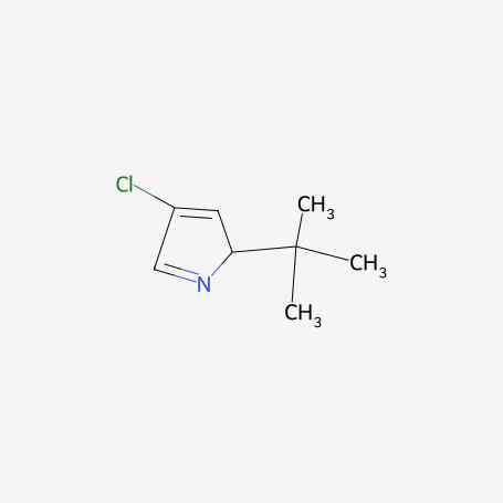 CC(C)(C)C1C=C(Cl)C=N1